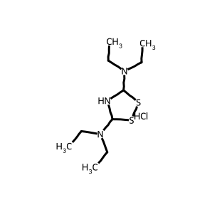 CCN(CC)C1NC(N(CC)CC)SS1.Cl